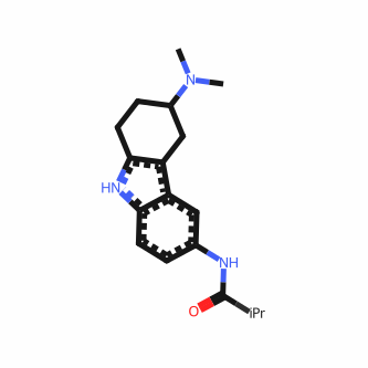 CC(C)C(=O)Nc1ccc2[nH]c3c(c2c1)CC(N(C)C)CC3